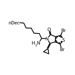 CCCCCCCCCCCCCCCC(N)N1C(=O)c2c(Br)sc(Br)c2C1=C1CC1